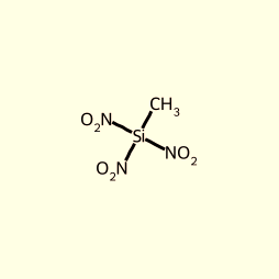 C[Si]([N+](=O)[O-])([N+](=O)[O-])[N+](=O)[O-]